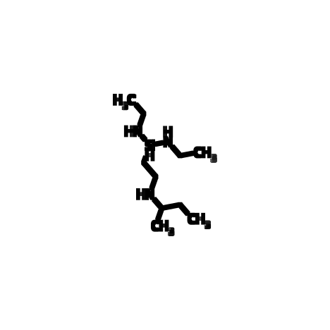 CCN[SiH](CCNC(C)CC)NCC